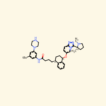 CN1CCC[C@@]1(C)c1nnc2ccc(O[C@@H]3CC[C@H](CCCC(=O)Nc4cc(N5CCNCC5)cc(C(C)(C)C)c4)c4ccccc43)cn12